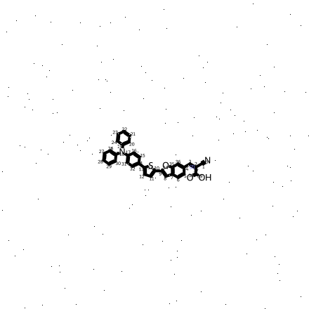 N#C/C(=C/c1ccc2cc(-c3ccc(-c4ccc(N(c5ccccc5)c5ccccc5)cc4)s3)oc2c1)C(=O)O